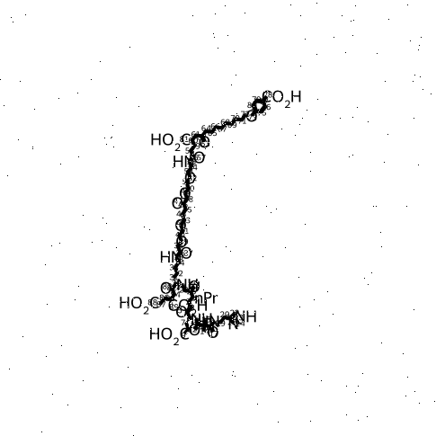 CCC[C@H](CCC(=O)[C@H](CCC(=O)O)NC(=O)C(C)(C)C(=O)NCCc1c[nH]cn1)C(=O)CN[C@@H](CCCCNC(=O)COCCOCCCC(=O)COCCOCCNC(=O)CC[C@H](CC(=O)CCCCCCCCCOc1ccc(C(=O)O)cc1)C(=O)O)C(=O)C[C@@H](CCC(=O)O)C(=O)O